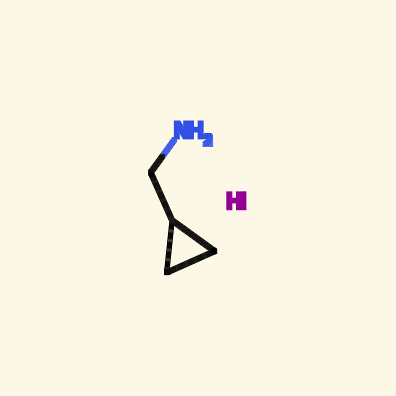 I.NCC1CC1